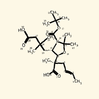 CC=CC[C@@](C)(C(=O)O)[C@@H]1OC(C)(C)N(C(=O)OC(C)(C)C)[C@H]1CC(C)(C)CC(=O)O